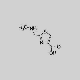 CNCc1nc(C(=O)O)cs1